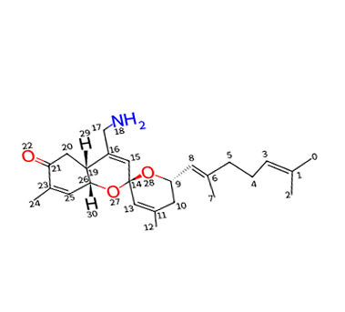 CC(C)=CCC/C(C)=C/[C@@H]1CC(C)=C[C@]2(C=C(CN)[C@H]3CC(=O)C(C)=C[C@H]3O2)O1